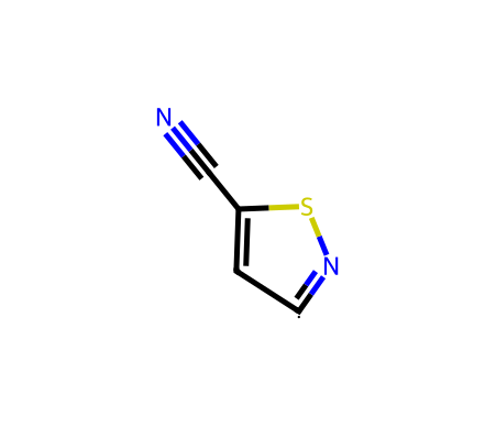 N#Cc1c[c]ns1